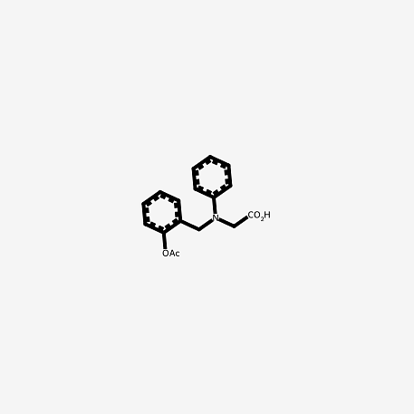 CC(=O)Oc1ccccc1CN(CC(=O)O)c1ccccc1